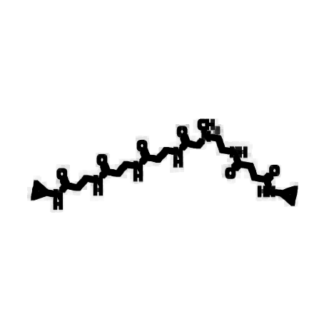 CN(CCNC(=O)CCC(=O)NC1CC1)CC(=O)NCCC(=O)NCCC(=O)NCCC(=O)NC1CC1